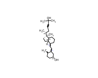 C=C1CC[C@H](O)C/C1=C/C=C1\CCC[C@]2(C)[C@@H]([C@H](C)CC#CC(C)(C)O)CC[C@@H]12